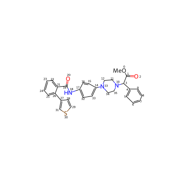 COC(=O)C(c1ccccc1)N1CCN(c2ccc(NC(=O)c3ccccc3-c3ccsc3)cc2)CC1